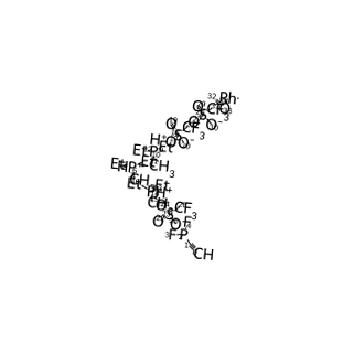 C#CP(F)F.CC[PH+](C)CC.CC[PH+](C)CC.CC[PH+](C)CC.O=S(=O)([O-])C(F)(F)F.O=S(=O)([O-])C(F)(F)F.O=S(=O)([O-])C(F)(F)F.[C]=O.[Rh]